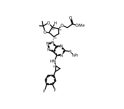 CCCSc1nc(N[C@H]2CC2c2ccc(F)c(F)c2)c2nnn([C@H]3C[C@H](OCC(=O)OC)[C@H]4OC(C)(C)OC43)c2n1